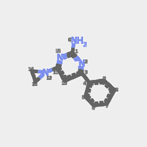 Nc1nc(-c2ccccc2)cc(N2CC2)n1